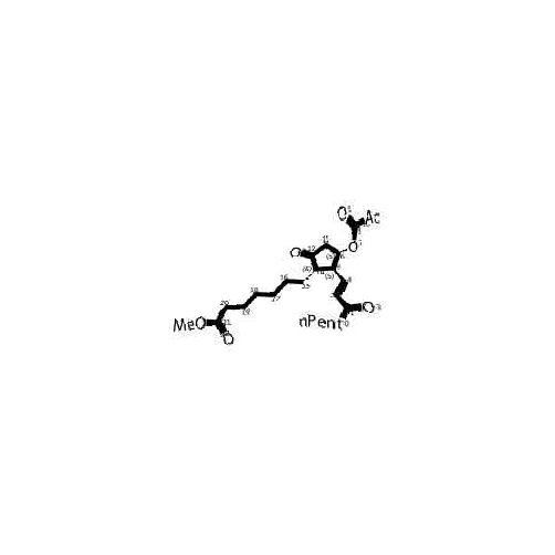 CCCCCC(=O)C=C[C@@H]1[C@@H](OC(=O)C(C)=O)CC(=O)[C@H]1CCCCCCC(=O)OC